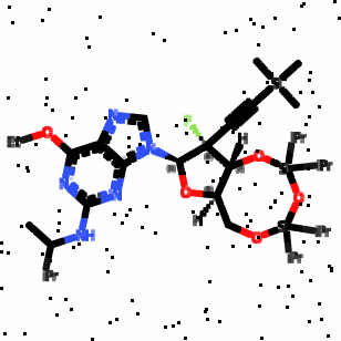 CCOc1nc(NC(C)C(C)C)nc2c1ncn2[C@@H]1O[C@@H]2CO[Si](C(C)C)(C(C)C)O[Si](C(C)C)(C(C)C)O[C@H]2[C@]1(F)C#C[Si](C)(C)C